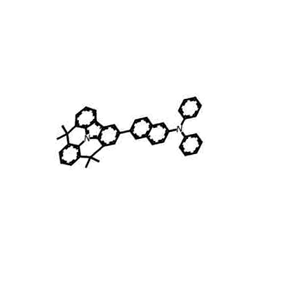 CC1(C)c2cccc3c2-n2c4c1cccc4c1cc(-c4ccc5cc(N(c6ccccc6)c6ccccc6)ccc5c4)cc(c12)C3(C)C